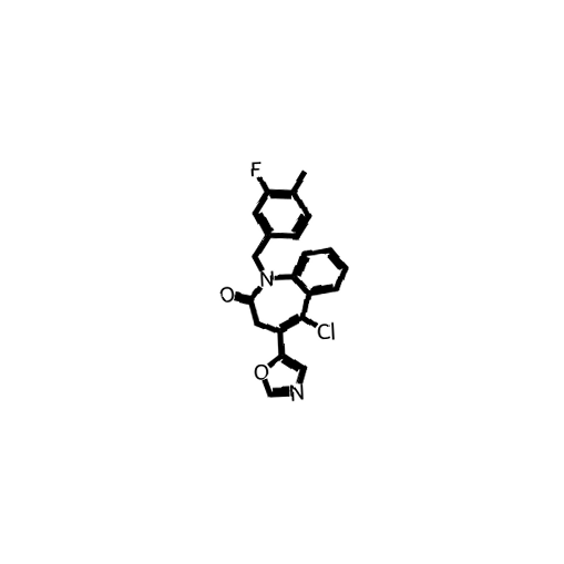 Cc1ccc(CN2C(=O)CC(c3cnco3)=C(Cl)c3ccccc32)cc1F